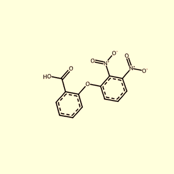 O=C(O)c1ccccc1Oc1cccc([N+](=O)[O-])c1[N+](=O)[O-]